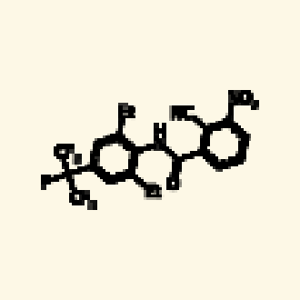 CCc1cc(C(F)(C(F)(F)F)C(F)(F)F)cc(CC)c1NC(=O)c1cccc([N+](=O)[O-])c1C#N